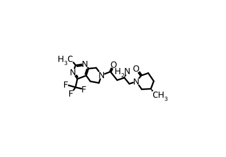 Cc1nc2c(c(C(F)(F)F)n1)CCN(C(=O)C[C@@H](N)CN1C[C@H](C)CCC1=O)C2